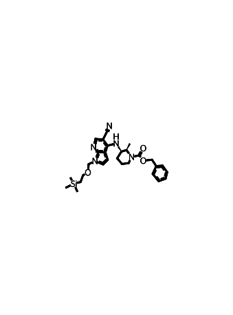 C[C@@H]1[C@H](Nc2c(C#N)cnc3c2ccn3COCC[Si](C)(C)C)CCCN1C(=O)OCc1ccccc1